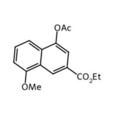 CCOC(=O)c1cc(OC(C)=O)c2cccc(OC)c2c1